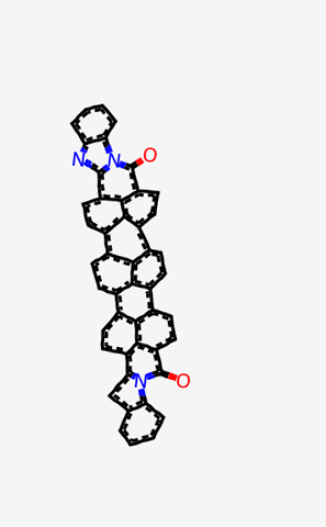 O=c1c2ccc3c4ccc5c6ccc7c(=O)n8c9ccccc9nc8c8ccc(c9ccc(c%10ccc(c2c3%10)c2cc3ccccc3n12)c4c59)c6c78